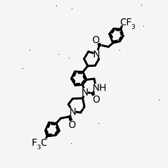 O=C(Cc1ccc(C(F)(F)F)cc1)N1CCC(c2cccc3c2CNC(=O)N3C2CCN(C(=O)Cc3ccc(C(F)(F)F)cc3)CC2)CC1